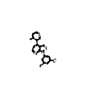 Cc1ccncc1-c1ccnc2c1cnn2-c1cc(F)cc(Cl)c1